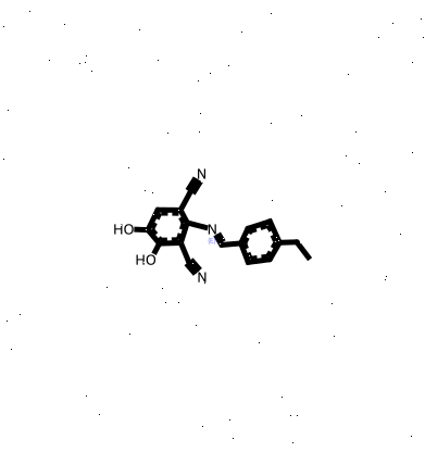 CCc1ccc(/C=N/c2c(C#N)cc(O)c(O)c2C#N)cc1